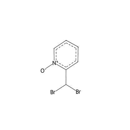 [O-][n+]1ccccc1C(Br)Br